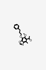 COc1c(C(C)=O)c(C)c2ncoc2c1OCCCc1ccccc1